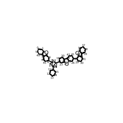 C1=Cc2oc3cc(-c4nc(-c5ccccc5)nc(-c5ccc6c(c5)oc5cc(-c7cccc8c7oc7ccccc78)ccc56)n4)ccc3c2CC1